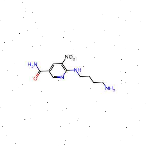 NCCCCNc1ncc(C(N)=O)cc1[N+](=O)[O-]